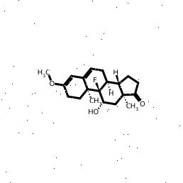 COC1=CC2=CC[C@H]3[C@@H]4CCC(=O)[C@@]4(C)C[C@H](O)[C@]3(F)[C@@]2(C)CC1